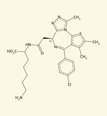 Cc1sc2c(c1C)C(c1ccc(Cl)cc1)=N[C@@H](CC(=O)NC(CCCCCN)C(=O)O)c1nnc(C)n1-2